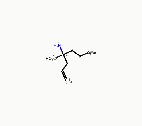 C=CC[C@](N)(CCSC)C(=O)O